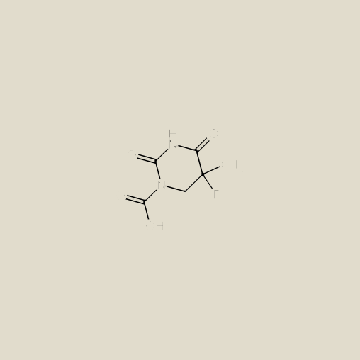 CC1(F)CN(C(=O)O)C(=O)NC1=O